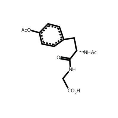 CC(=O)N[C@@H](Cc1ccc(OC(C)=O)cc1)C(=O)NCC(=O)O